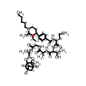 CCCCCCN1CCC(c2ccc(C(=O)N[C@@H](CCN)C(=O)N[C@H](C(=O)N[C@@H](C)C(=O)N[C@@H](CCCCN)C(=O)N[C@@H](C)B3OC4C[C@@H]5C[C@@H](C5(C)C)[C@]4(C)O3)[C@@H](C)O)cc2)CC1